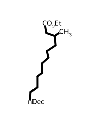 CCCCCCCCCCCCCCCCCCC(C)CC(=O)OCC